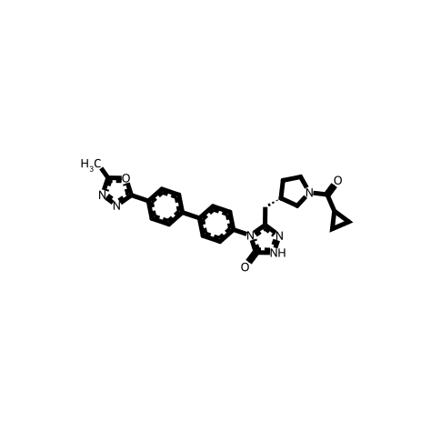 Cc1nnc(-c2ccc(-c3ccc(-n4c(C[C@@H]5CCN(C(=O)C6CC6)C5)n[nH]c4=O)cc3)cc2)o1